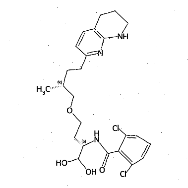 C[C@H](CCc1ccc2c(n1)NCCC2)COCC[C@H](NC(=O)c1c(Cl)cccc1Cl)C(O)O